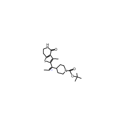 C/C=C(\c1sc2c(c1C)C(=O)NCC2)C1CCN(C(=O)OC(C)(C)C)CC1